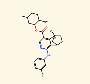 CC1CCC(C(C)C)C(OC(=O)c2cnc(Nc3cccc(Cl)c3)c3c2[C@@H]2CCC3C2)C1